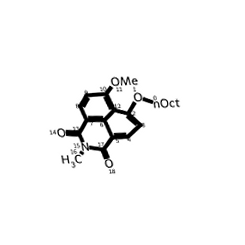 CCCCCCCCOc1ccc2c3c(ccc(OC)c13)C(=O)N(C)C2=O